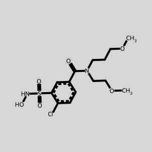 COCCCN(CCOC)C(=O)c1ccc(Cl)c(S(=O)(=O)NO)c1